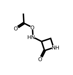 CC(=O)ONC1CNC1=O